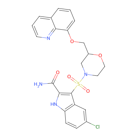 NC(=O)c1[nH]c2ccc(Cl)cc2c1S(=O)(=O)N1CCOC(COc2cccc3cccnc23)C1